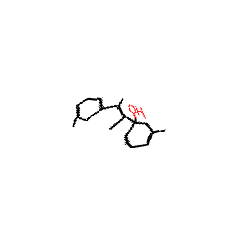 CC1=CCCC(/C(C)=C(\C)C2(O)CCC=C(C)C2)C1